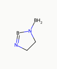 BN1B=NCC1